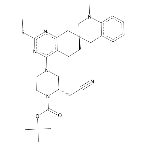 CSc1nc2c(c(N3CCN(C(=O)OC(C)(C)C)[C@@H](CC#N)C3)n1)CC[C@@]1(Cc3ccccc3N(C)C1)C2